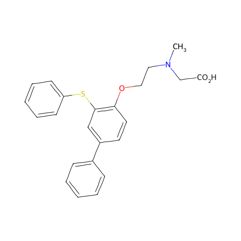 CN(CCOc1ccc(-c2ccccc2)cc1Sc1ccccc1)CC(=O)O